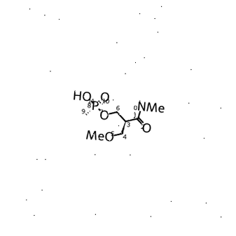 CNC(=O)[C@@H](COC)CO[P@](C)(=O)O